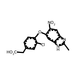 Cc1nc2cc([N+](=O)[O-])c(Oc3ccc(CC(=O)O)cc3Cl)cc2[nH]1